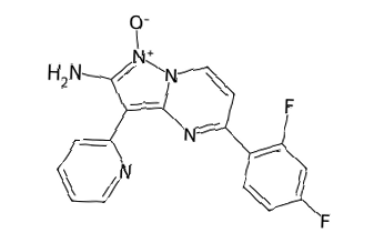 Nc1c(-c2ccccn2)c2nc(-c3ccc(F)cc3F)ccn2[n+]1[O-]